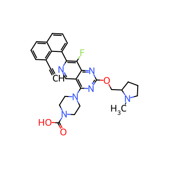 C#Cc1cccc2cccc(-c3ncc4c(N5CCN(C(=O)O)CC5)nc(OCC5CCCN5C)nc4c3F)c12